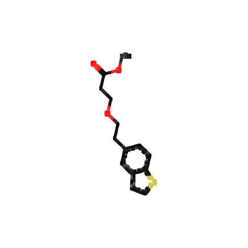 CCCCOC(=O)CCOCCc1ccc2sccc2c1